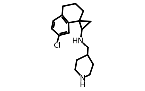 Clc1ccc2c(c1)C1(CCC2)CC1NCC1CCNCC1